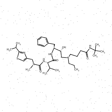 CCCN(CCCC(=O)NC(C)(C)C)C[C@@H](O)[C@H](Cc1ccccc1)NC(=O)[C@@H](NC(=O)N(C)Cc1csc(C(C)C)n1)C(C)C